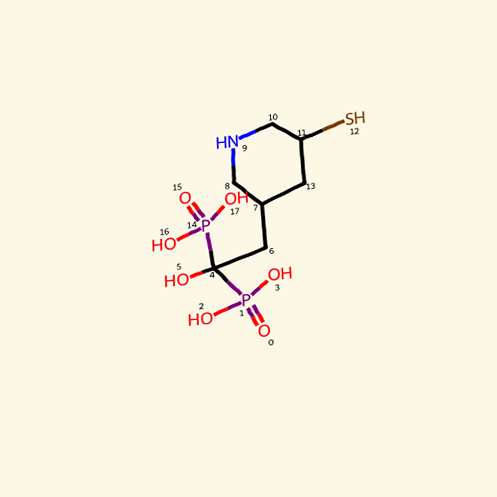 O=P(O)(O)C(O)(CC1CNCC(S)C1)P(=O)(O)O